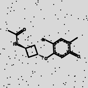 CC(=O)N[C@H]1C[C@H](Oc2cc(=O)n(C)cc2Br)C1